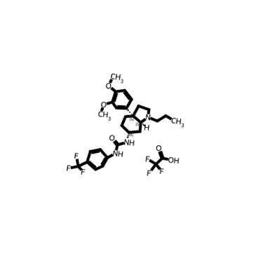 CCCN1CC[C@]2(c3ccc(OC)c(OC)c3)CC[C@@H](NC(=O)Nc3ccc(C(F)(F)F)cc3)C[C@H]12.O=C(O)C(F)(F)F